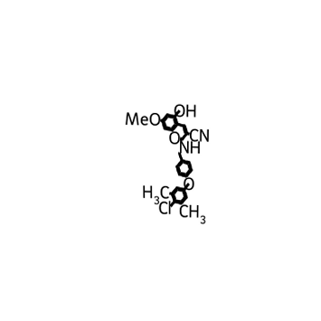 COc1ccc(C=C(C#N)C(=O)NCc2ccc(Oc3cc(C)c(Cl)c(C)c3)cc2)c(O)c1